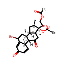 CCC(=O)OCC(=O)[C@@]1(OC(=O)CC)[C@H](C)C[C@H]2[C@@H]3CC(Br)C4=CC(=O)C=C[C@]4(C)[C@H]3C(=O)C[C@@]21C